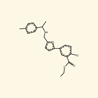 CCOC(=O)c1cc(-c2ccc(CNC(C)c3ccc(C)cc3)o2)ccc1Cl